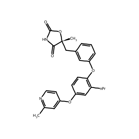 CCCc1cc(Oc2ccnc(C)c2)ccc1Oc1cccc(C[C@@]2(C)OC(=O)NC2=O)c1